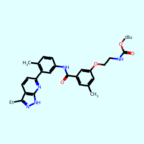 CCc1n[nH]c2nc(-c3cc(NC(=O)c4cc(C)cc(OCCNC(=O)OC(C)(C)C)c4)ccc3C)ccc12